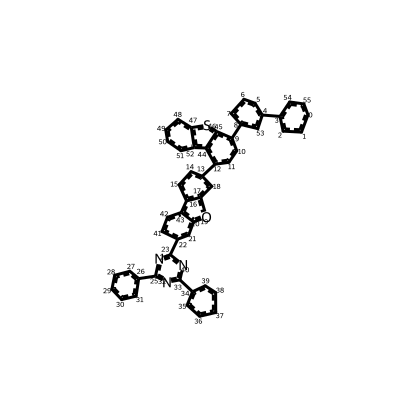 c1ccc(-c2cccc(-c3ccc(-c4ccc5c(c4)oc4cc(-c6nc(-c7ccccc7)nc(-c7ccccc7)n6)ccc45)c4c3sc3ccccc34)c2)cc1